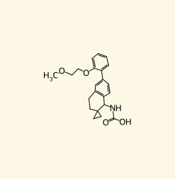 COCCOc1ccccc1-c1ccc2c(c1)CCC1(CC1)C2NC(=O)O